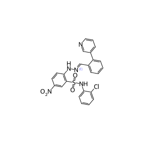 O=[N+]([O-])c1ccc(N/N=C/c2ccccc2-c2cccnc2)c(S(=O)(=O)Nc2ccccc2Cl)c1